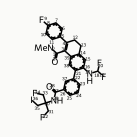 CNC(=O)C1=C(c2ccc(F)cc2)CCc2cc(NC(F)F)c(-c3cccc(C(=O)NC(CF)(CF)CI)c3)cc21